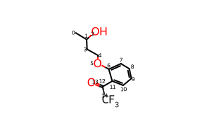 CC(O)CCOc1ccccc1C(=O)C(F)(F)F